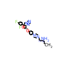 C=C/C=C(N)\C=C/CN1CCN(c2ccc(OC[C@@H]3COC(Cn4cncn4)(c4ccc(F)cc4F)C3)cc2)CC1